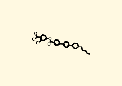 CCCCC[C@H]1CC[C@H](c2ccc(-c3ccc(C(=O)Oc4ccc(C(=O)Cl)c(Cl)c4)cc3)cc2)CC1